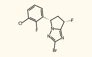 Fc1c(Cl)cccc1[C@@H]1C[C@H](F)c2nc(Br)nn21